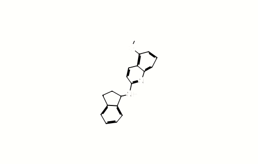 COc1cccc2nc(NC3CCc4ccccc43)ccc12